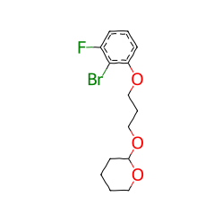 Fc1cccc(OCCCOC2CCCCO2)c1Br